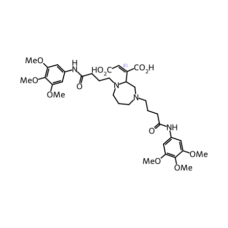 COc1cc(NC(=O)CCCN2CCCN(CCCC(=O)Nc3cc(OC)c(OC)c(OC)c3)C(/C(=C\C(=O)O)C(=O)O)C2)cc(OC)c1OC